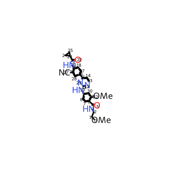 COCCNC(=O)c1ccc(Nc2nccc(-c3ccc(NC(=O)C4CC4)c(C#N)c3)n2)cc1OC